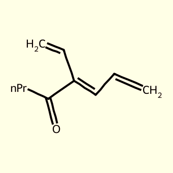 C=C/C=C(\C=C)C(=O)CCC